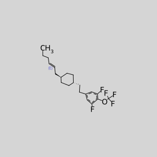 CCC/C=C/C[C@H]1CC[C@H](CCc2cc(F)c(OC(F)(F)F)c(F)c2)CC1